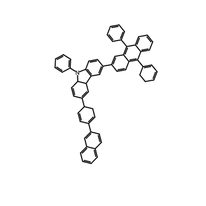 C1=CCCC(c2c3ccccc3c(-c3ccccc3)c3cc(-c4ccc5c(c4)C4C=C(C6C=CC(c7ccc8ccccc8c7)=CC6)C=CC4N5c4ccccc4)ccc23)=C1